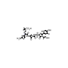 C[C@H](CO)n1c(-c2cc(=O)c(O)c[nH]2)nn(S(=O)(=O)NC(=O)N2C[C@H](NC(=O)/C(=N\OC(C)(C)C(=O)O)c3csc(N)n3)C2=O)c1=O